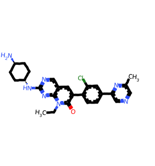 CCn1c(=O)c(-c2ccc(-c3cncc(C)n3)cc2Cl)cc2cnc(N[C@H]3CC[C@H](N)CC3)nc21